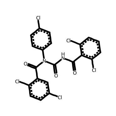 O=C(NC(=O)N(C(=O)c1cc(Cl)ccc1Cl)c1ccc(Cl)cc1)c1c(Cl)cccc1Cl